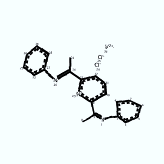 CC(=Nc1ccccc1)c1cccc(C(C)=Nc2ccccc2)n1.[Cl-].[Cl-].[V+2]